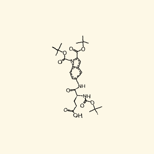 CC(C)(C)OC(=O)N[C@@H](CCC(=O)O)C(=O)Nc1ccc2c(c1)cc(C(=O)OC(C)(C)C)n2C(=O)OC(C)(C)C